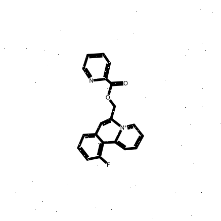 O=C(OCc1cc2cccc(F)c2c2cccc[n+]12)c1ccccn1